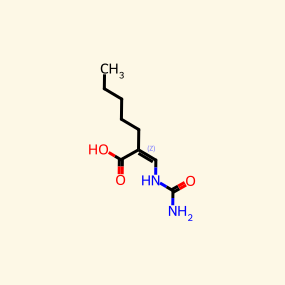 CCCCC/C(=C/NC(N)=O)C(=O)O